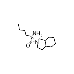 CCCC[C@H](N)C(=O)N1CCC2CCCCC2C1